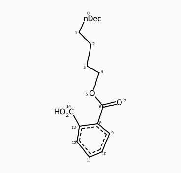 CCCCCCCCCCCCCCOC(=O)c1ccccc1C(=O)O